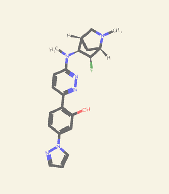 CN1C[C@@H]2C[C@H]1[C@@H](F)[C@H]2N(C)c1ccc(-c2ccc(-n3cccn3)cc2O)nn1